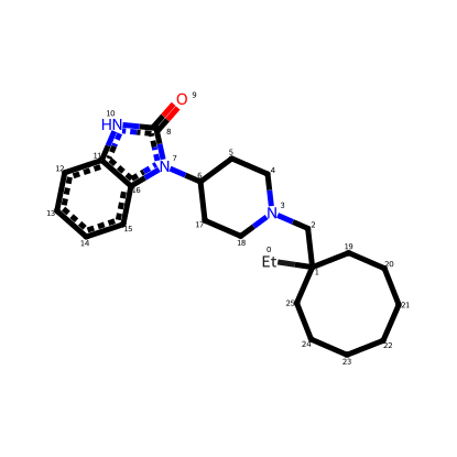 CCC1(CN2CCC(n3c(=O)[nH]c4ccccc43)CC2)CCCCCCC1